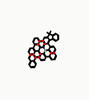 CC1(C)c2ccccc2-c2c(-c3ccccc3N(c3cc(-c4cccc5ccccc45)ccc3-c3ccccc3)c3ccccc3-c3cccc4cccc(-c5ccccc5)c34)cccc21